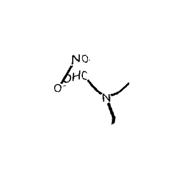 CN(C)C=O.O=[N+][O-]